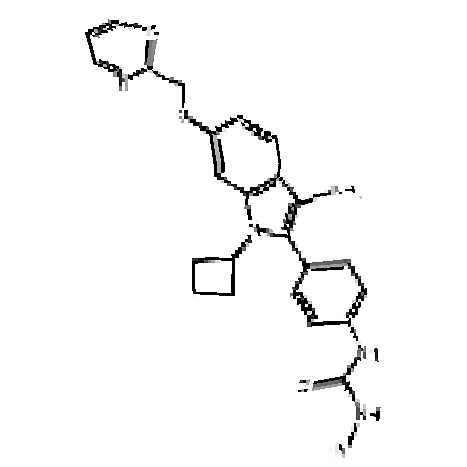 CC(C)NC(=O)Nc1ccc(-c2c(N)c3ccc(OCc4ncccn4)cc3n2C2CCC2)cc1